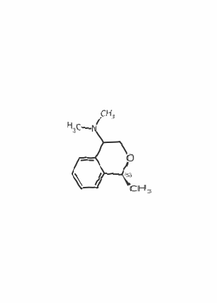 C[C@@H]1OCC(N(C)C)c2ccccc21